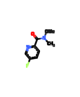 CON(C)C(=O)c1ccc(F)cn1